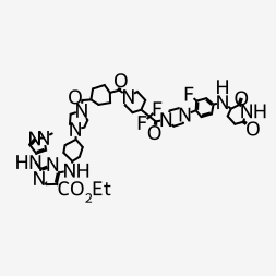 CCOC(=O)c1cnc(Nc2cnn(C)c2)nc1NC1CCC(N2CCN(C(=O)C3CCC(C(=O)N4CCC(C(F)(F)C(=O)N5CCN(c6ccc(NC7CCC(=O)NC7=O)cc6F)CC5)CC4)CC3)CC2)CC1